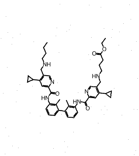 CCCCNCc1cnc(C(=O)Nc2cccc(-c3cccc(NC(=O)c4cc(C5CC5)c(CNCCCC(=O)OCC)cn4)c3C)c2C)cc1C1CC1